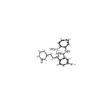 O=C(O)c1ccncc1NC1NN(CCC2CCCNC2)c2ccc(F)cc21